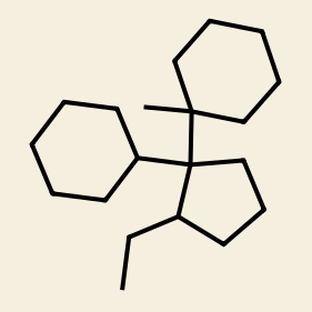 CCC1CCCC1(C1CCCCC1)C1(C)CCCCC1